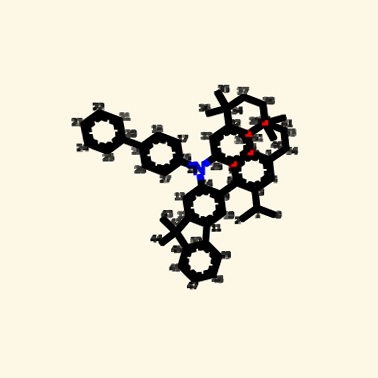 CC(C)c1cc2c(cc1-c1cc3c(cc1N(c1ccc(-c4ccccc4)cc1)c1ccc4c(c1)C(C)(C)CCC4(C)C)C(C)(C)c1ccccc1-3)CCCC2